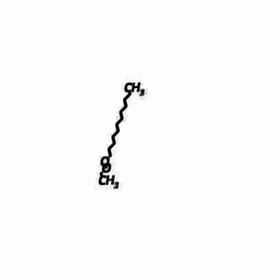 CCCCCCCCCCCCOOCC